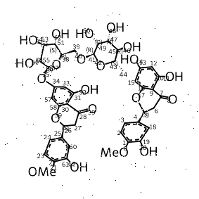 COc1ccc([C@@H]2CC(=O)c3c(O)cc(O)cc3O2)cc1O.COc1ccc([C@@H]2CC(=O)c3c(O)cc(O[C@@H]4O[C@H](CO[C@@H]5O[C@@H](C)[C@H](O)[C@@H](O)[C@H]5O)[C@@H](O)[C@H](O)[C@H]4O)cc3O2)cc1O